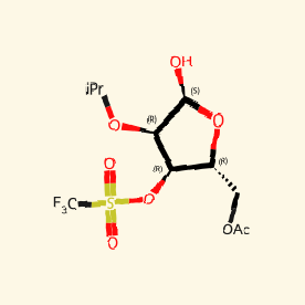 CC(=O)OC[C@H]1O[C@H](O)[C@H](OC(C)C)[C@@H]1OS(=O)(=O)C(F)(F)F